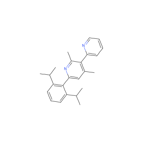 Cc1cc(-c2c(C(C)C)cccc2C(C)C)nc(C)c1-c1ccccn1